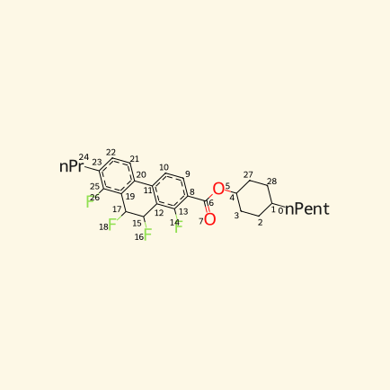 CCCCCC1CCC(OC(=O)c2ccc3c(c2F)C(F)C(F)c2c-3ccc(CCC)c2F)CC1